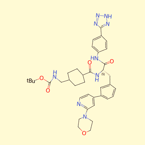 CC(C)(C)OC(=O)NCC1CCC(C(=O)N[C@@H](Cc2cccc(-c3ccnc(N4CCOCC4)c3)c2)C(=O)Nc2ccc(-c3nn[nH]n3)cc2)CC1